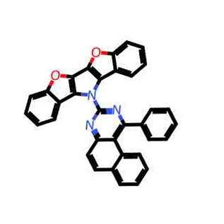 c1ccc(-c2nc(-n3c4c5ccccc5oc4c4oc5ccccc5c43)nc3ccc4ccccc4c23)cc1